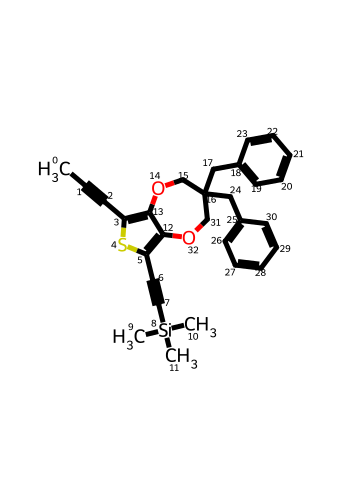 CC#Cc1sc(C#C[Si](C)(C)C)c2c1OCC(Cc1ccccc1)(Cc1ccccc1)CO2